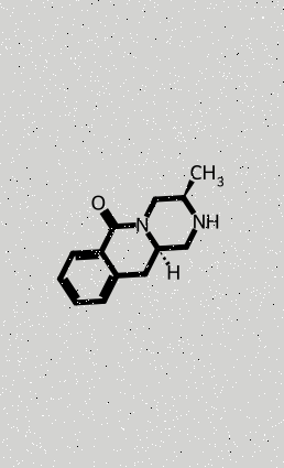 C[C@@H]1CN2C(=O)c3ccccc3C[C@@H]2CN1